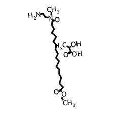 CC(O)C(=O)O.CCOC(=O)CCCCCCCCCCCCCCCCC(=O)N(CC)CCN